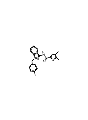 Cc1ccc(Cn2nc(NC(=O)c3cc(C)c(C)o3)c3ccccc32)cc1